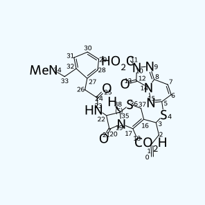 C=CCC(Sc1ccc2nn(C(=O)O)c(=O)n2n1)C1=C(C(=O)O)N2C(=O)C(NC(=O)Cc3ccccc3CNC)[C@@H]2SC1